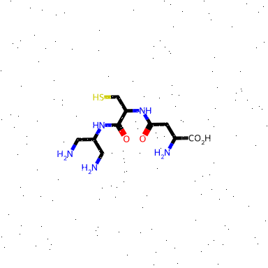 NCC(CN)NC(=O)C(CS)NC(=O)CC(N)C(=O)O